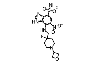 NS(=O)(=O)c1cc([N+](=O)[O-])c(NCC2(F)CCN(C3COC3)CC2)c2[nH]cnc12